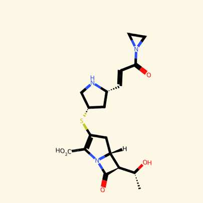 C[C@@H](O)[C@H]1C(=O)N2C(C(=O)O)=C(S[C@@H]3CN[C@H](/C=C/C(=O)N4CC4)C3)C[C@H]12